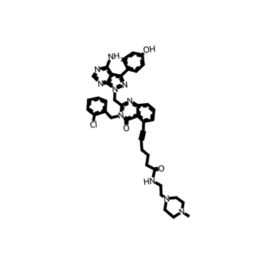 CN1CCN(CCNC(=O)CCCC#Cc2cccc3nc(Cn4nc(-c5ccc(O)cc5)c5c(N)ncnc54)n(Cc4ccccc4Cl)c(=O)c23)CC1